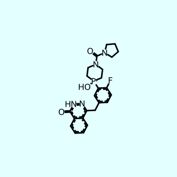 O=C(N1CCCC1)N1CC[P](O)(c2cc(Cc3n[nH]c(=O)c4ccccc34)ccc2F)CC1